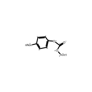 CCCCCCCCCc1ccc(OC(=O)OCCCCCCCC)cc1